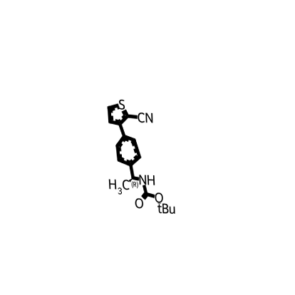 C[C@@H](NC(=O)OC(C)(C)C)c1ccc(-c2ccsc2C#N)cc1